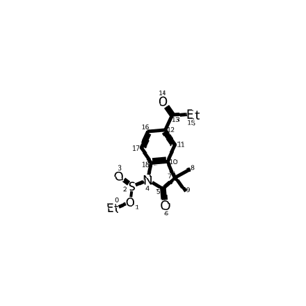 CCOS(=O)N1C(=O)C(C)(C)c2cc(C(=O)CC)ccc21